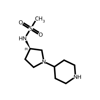 CS(=O)(=O)N[C@@H]1CCN(C2CCNCC2)C1